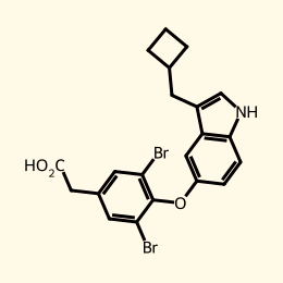 O=C(O)Cc1cc(Br)c(Oc2ccc3[nH]cc(CC4CCC4)c3c2)c(Br)c1